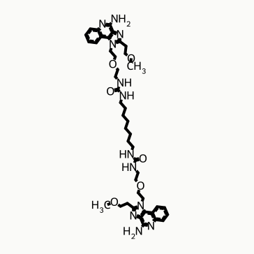 COCCc1nc2c(N)nc3ccccc3c2n1CCOCCNC(=O)NCCCCCCCCNC(=O)NCCOCCn1c(CCOC)nc2c(N)nc3ccccc3c21